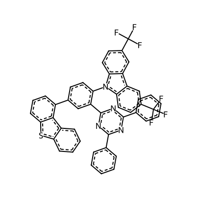 FC(F)(F)c1ccc2c(c1)c1cc(C(F)(F)F)ccc1n2-c1ccc(-c2cccc3sc4ccccc4c23)cc1-c1nc(-c2ccccc2)nc(-c2ccccc2)n1